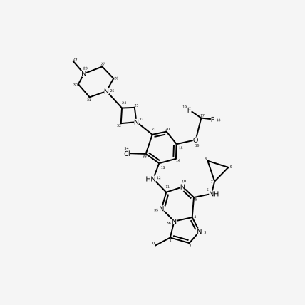 Cc1cnc2c(NC3CC3)nc(Nc3cc(OC(F)F)cc(N4CC(N5CCN(C)CC5)C4)c3Cl)nn12